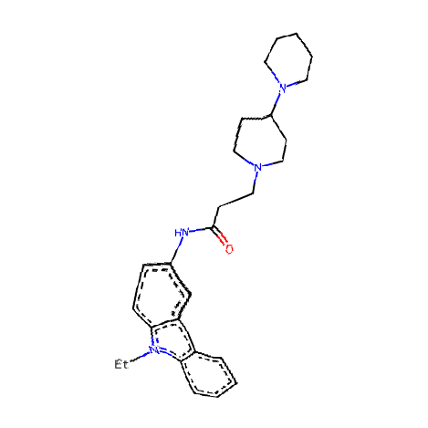 CCn1c2ccccc2c2cc(NC(=O)CCN3CCC(N4CCCCC4)CC3)ccc21